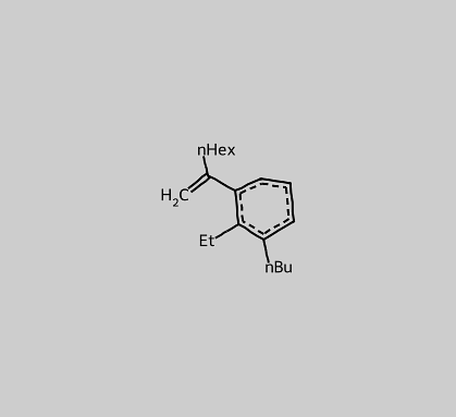 C=C(CCCCCC)c1cccc(CCCC)c1CC